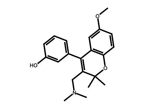 COc1ccc2c(c1)C(c1cccc(O)c1)=C(CN(C)C)C(C)(C)O2